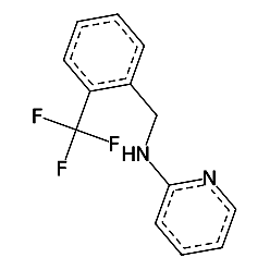 FC(F)(F)c1ccccc1CNc1ccccn1